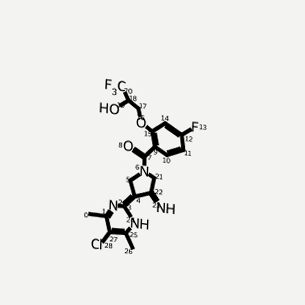 CC1=N/C(=C2\CN(C(=O)c3ccc(F)cc3OCC(O)C(F)(F)F)CC2=N)NC(C)=C1Cl